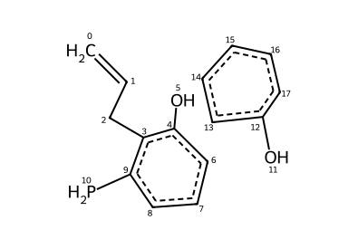 C=CCc1c(O)cccc1P.Oc1ccccc1